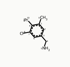 Cc1cc(CN)cc(Cl)c1C(C)C